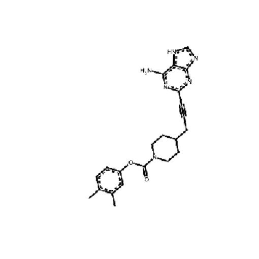 Cc1ccc(OC(=O)N2CCC(CC#Cc3nc(N)c4[nH]cnc4n3)CC2)cc1C